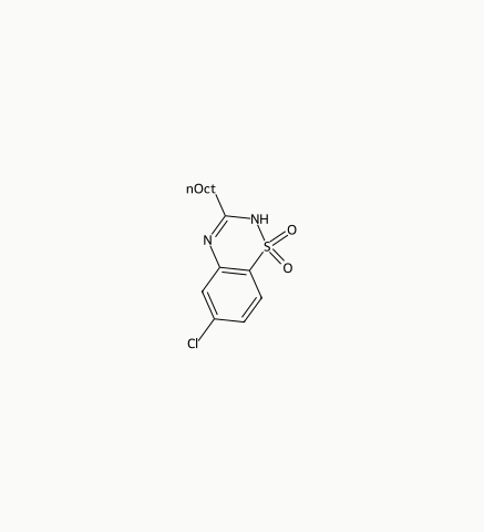 CCCCCCCCC1=Nc2cc(Cl)ccc2S(=O)(=O)N1